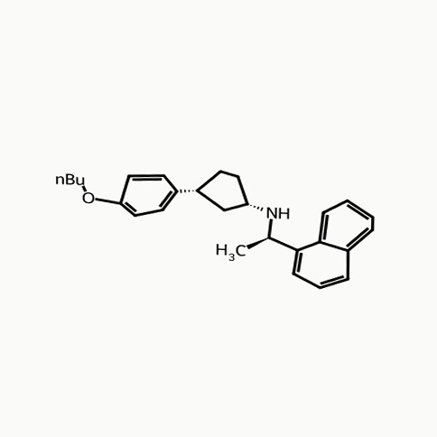 CCCCOc1ccc([C@@H]2CC[C@H](N[C@H](C)c3cccc4ccccc34)C2)cc1